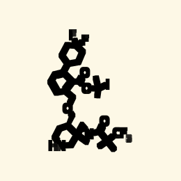 CC(C)(I)OC(=O)c1c(COC[C@@H]2CCNCC23CN(C(=O)C(C)(C)C(F)(F)F)C3)cccc1C1CCC(F)(F)CC1